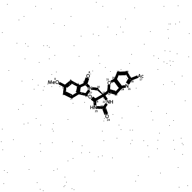 COc1ccc2c(c1)C(=O)N(C[C@@]1(c3cc4nc(C(C)=O)ccc4o3)NC(=O)NC1=O)C2